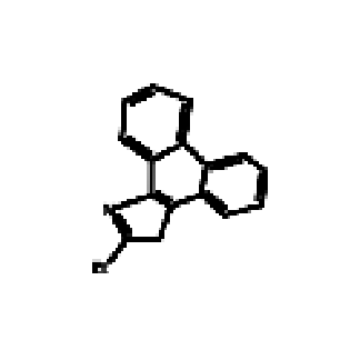 CCC1=Nc2c(c3ccccc3c3ccccc23)C1